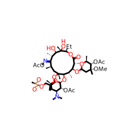 C=C(CO[C@]1(C)C[C@@H](C)/C(=N\OC(C)=O)[C@H](C)[C@@H](O)[C@](C)(O)[C@@H](CC)OC(=O)[C@H](C)[C@@H](OC2C[C@@](C)(OC)[C@@H](OC(C)=O)[C@H](C)O2)[C@H](C)[C@H]1O[C@@H]1O[C@H](C)C[C@H](N(C)C)[C@H]1OC(C)=O)COS(C)(=O)=O